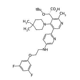 Cc1ncc(-c2ccc(NCCOc3cc(F)cc(F)c3)cn2)c(N2CCC(C)(C)CC2)c1[C@H](OC(C)(C)C)C(=O)O